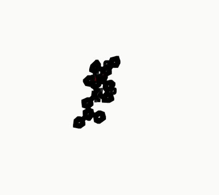 c1ccc(-c2cc(-c3ccccc3)cc(-c3cccc(-c4nc(-c5ccccc5)nc(-c5cccc6oc7ccc(-c8ccc9c(c8)c8ccccc8n9-c8ccccc8-c8cccc9c8oc8ccccc89)cc7c56)n4)c3)c2)cc1